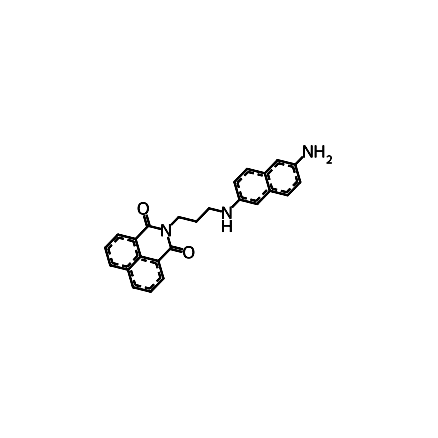 Nc1ccc2cc(NCCCN3C(=O)c4cccc5cccc(c45)C3=O)ccc2c1